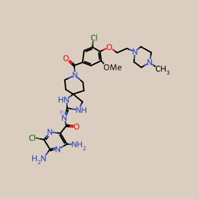 COc1cc(C(=O)N2CCC3(CC2)CN/C(=N\C(=O)c2nc(Cl)c(N)nc2N)N3)cc(Cl)c1OCCN1CCN(C)CC1